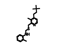 Cc1ccccc1NCSCc1nccc(CCC(C)(C)C)c1C